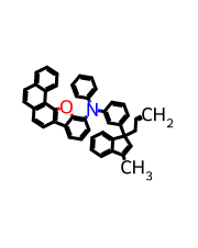 C=CCC1(c2cccc(N(c3ccccc3)c3cccc4c3oc3c4ccc4ccc5ccccc5c43)c2)C=C(C)c2ccccc21